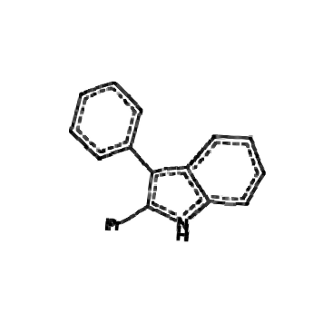 CC(C)c1[nH]c2ccccc2c1-c1ccccc1